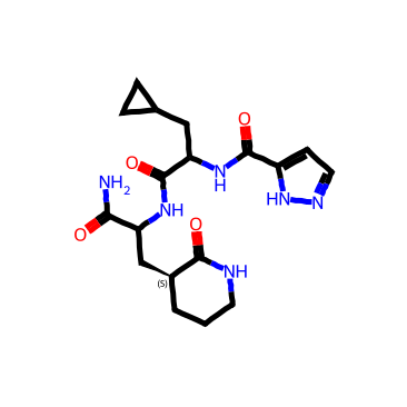 NC(=O)C(C[C@@H]1CCCNC1=O)NC(=O)C(CC1CC1)NC(=O)c1ccn[nH]1